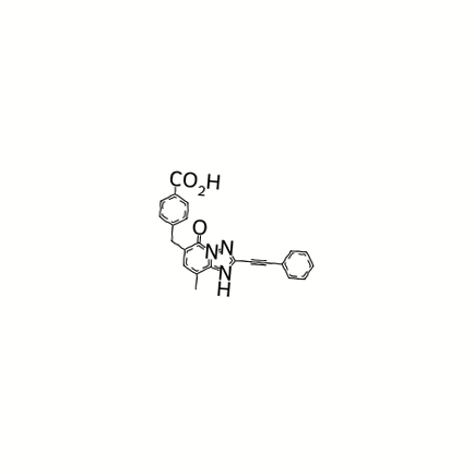 Cc1cc(Cc2ccc(C(=O)O)cc2)c(=O)n2nc(C#Cc3ccccc3)[nH]c12